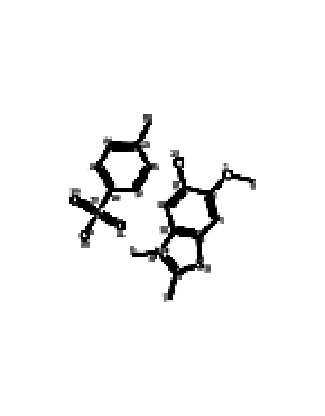 COc1cc2sc(C)[n+](C)c2cc1Cl.Cc1ccc(S(=O)(=O)[O-])cc1